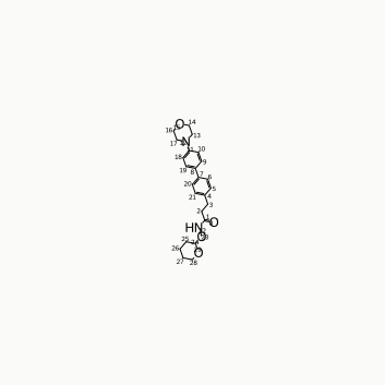 O=C(CCc1ccc(-c2ccc(N3CCOCC3)cc2)cc1)NOC1CCCCO1